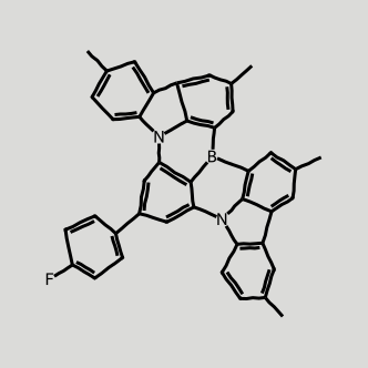 Cc1ccc2c(c1)c1cc(C)cc3c1n2-c1cc(-c2ccc(F)cc2)cc2c1B3c1cc(C)cc3c4cc(C)ccc4n-2c13